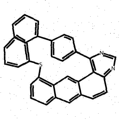 c1ccc(Sc2cccc3cc4ccc5ncnc(-c6ccc(-c7ccccc7)cc6)c5c4cc23)cc1